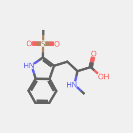 CNC(Cc1c(S(C)(=O)=O)[nH]c2ccccc12)C(=O)O